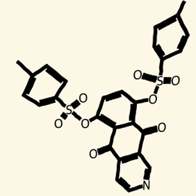 Cc1ccc(S(=O)(=O)Oc2ccc(OS(=O)(=O)c3ccc(C)cc3)c3c2C(=O)c2ccncc2C3=O)cc1